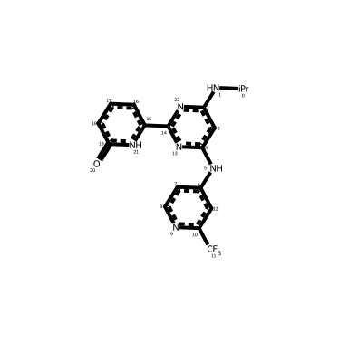 CC(C)Nc1cc(Nc2ccnc(C(F)(F)F)c2)nc(-c2cccc(=O)[nH]2)n1